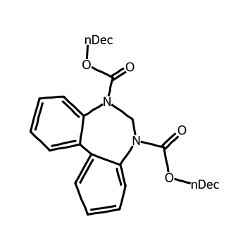 CCCCCCCCCCOC(=O)N1CN(C(=O)OCCCCCCCCCC)c2ccccc2-c2ccccc21